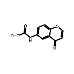 O=CC(=O)Nc1ccc2occc(=O)c2c1